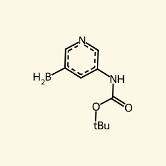 Bc1cncc(NC(=O)OC(C)(C)C)c1